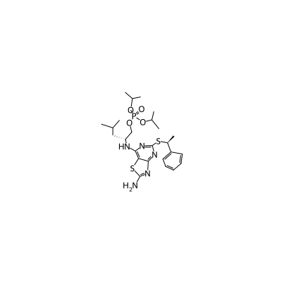 CC(C)C[C@H](COP(=O)(OC(C)C)OC(C)C)Nc1nc(S[C@@H](C)c2ccccc2)nc2nc(N)sc12